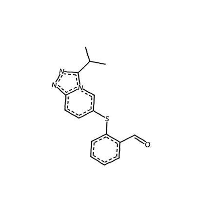 CC(C)c1nnc2ccc(Sc3ccccc3C=O)cn12